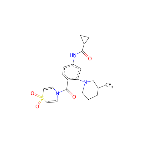 O=C(Nc1ccc(C(=O)N2C=CS(=O)(=O)C=C2)c(N2CCCC(C(F)(F)F)C2)c1)C1CC1